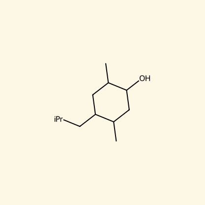 CC(C)CC1CC(C)C(O)CC1C